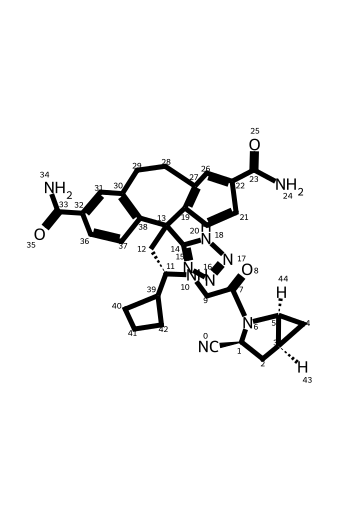 N#C[C@@H]1C[C@@H]2C[C@@H]2N1C(=O)CN[C@@H](CC1(c2nnn[nH]2)c2ccc(C(N)=O)cc2CCc2cc(C(N)=O)ccc21)C1CCC1